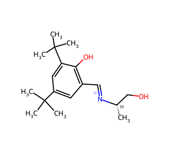 C[C@@H](CO)/N=C/c1cc(C(C)(C)C)cc(C(C)(C)C)c1O